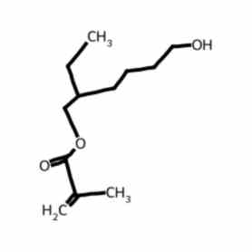 C=C(C)C(=O)OCC(CC)CCCCO